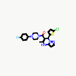 CC1=C(C(=O)N2CCN(c3ccc(F)cc3)CC2)C(c2ccc(Cl)s2)n2nccc2N1